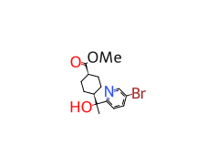 COC(=O)[C@H]1CC[C@@H](C(C)(O)c2ccc(Br)cn2)CC1